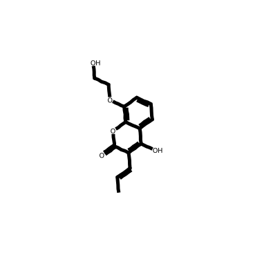 CC=Cc1c(O)c2cccc(OCCO)c2oc1=O